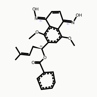 COc1cc([C@H](CC=C(C)C)OC(=O)c2ccccc2)c(OC)c2c1/C(=N/O)C=C/C2=N\O